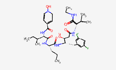 CCC[C@H](NC(=O)[C@@H](NC(=O)C1=CCN(O)C=C1)[C@@H](C)CC)C(=O)N[C@@H](Cc1cc(F)cc(F)c1)[C@@H](O)CC(=O)N[C@H](C(=O)NCC)C(C)C